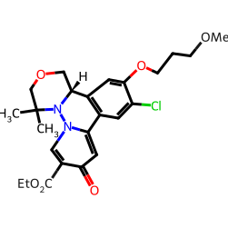 CCOC(=O)c1cn2c(cc1=O)-c1cc(Cl)c(OCCCOC)cc1[C@H]1COCC(C)(C)N12